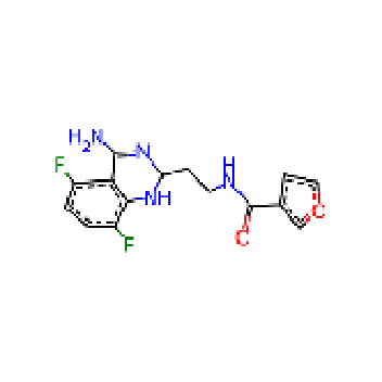 NC1=NC(CCNC(=O)c2ccoc2)Nc2c(F)ccc(F)c21